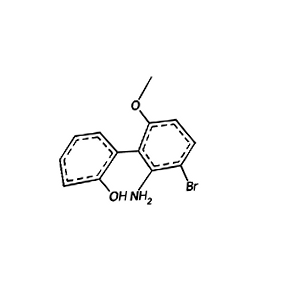 COc1ccc(Br)c(N)c1-c1ccccc1O